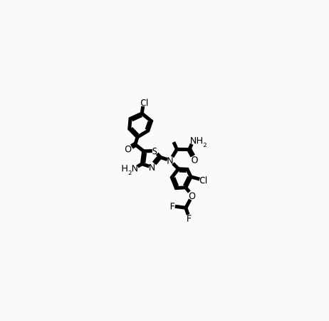 CC(C(N)=O)N(c1ccc(OC(F)F)c(Cl)c1)c1nc(N)c(C(=O)c2ccc(Cl)cc2)s1